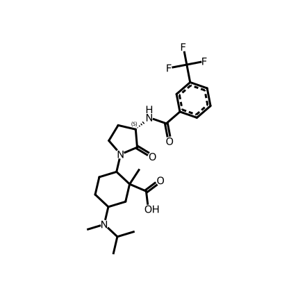 CC(C)N(C)C1CCC(N2CC[C@H](NC(=O)c3cccc(C(F)(F)F)c3)C2=O)C(C)(C(=O)O)C1